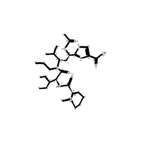 CCCN(C(=O)[C@@H](NC(=O)[C@H]1CCCCN1C)C(CC)CC)[C@H](C[C@@H](OC(C)=O)c1nc(C(=O)O)cs1)C(C)C